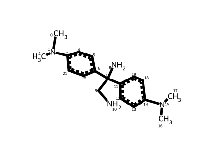 CN(C)c1ccc(C(N)(CN)c2ccc(N(C)C)cc2)cc1